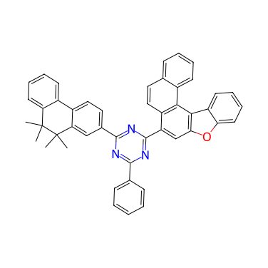 CC1(C)c2ccccc2-c2ccc(-c3nc(-c4ccccc4)nc(-c4cc5oc6ccccc6c5c5c4ccc4ccccc45)n3)cc2C1(C)C